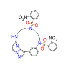 O=[N+]([O-])c1ccccc1S(=O)(=O)N1CCCNc2ccn3ncc(c3n2)-c2cccc(c2)N(S(=O)(=O)c2ccccc2[N+](=O)[O-])CCC1